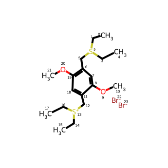 CC[S+](CC)Cc1cc(OC)c(C[S+](CC)CC)cc1OC.[Br-].[Br-]